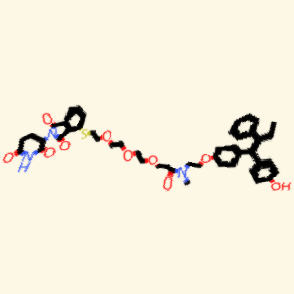 CC/C(=C(\c1ccc(O)cc1)c1ccc(OCCN(C)C(=O)CCOCCOCCOCCSc2cccc3c2C(=O)N(C2CCC(=O)NC2=O)C3=O)cc1)c1ccccc1